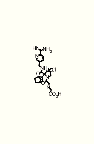 Cl.Cl.N=C(N)c1ccc(CNC(=O)[C@]2(C3CC4CCC3C4)CCCN2C(=O)CN=CC(=O)O)cn1